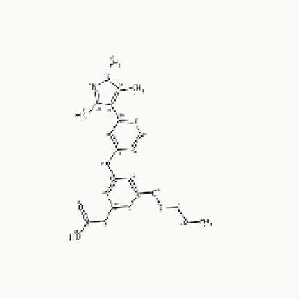 COCCOc1cc(CC(=O)O)cc(Oc2cccc(-c3c(C)nn(C)c3C)c2)c1